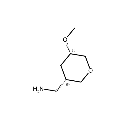 CO[C@@H]1COC[C@H](CN)C1